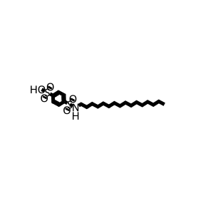 CCCCCCCCCCCCCCCCNS(=O)(=O)c1ccc(S(=O)(=O)O)cc1